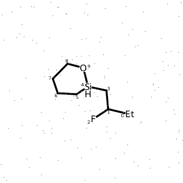 CCC(F)C[SiH]1CCCCO1